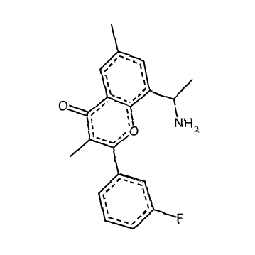 Cc1cc(C(C)N)c2oc(-c3cccc(F)c3)c(C)c(=O)c2c1